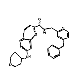 O=C(NCc1cc(Cc2ccccc2)ccn1)c1ccc2cnc(NC3CCOCC3)cc2n1